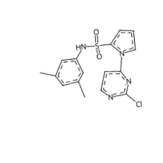 Cc1cc(C)cc(NS(=O)(=O)c2cccn2-c2ccnc(Cl)n2)c1